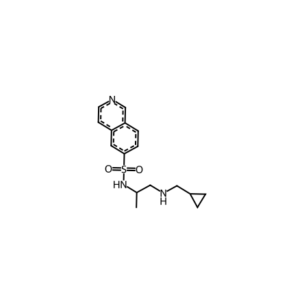 CC(CNCC1CC1)NS(=O)(=O)c1ccc2cnccc2c1